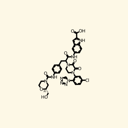 O=C(O)c1cc2cc(NC(=O)C(Cc3ccc(NC(=O)N4CCO[C@@H](CO)C4)cc3)N3CCN(c4cc(Cl)ccc4-n4cnnn4)C(=O)C3=O)ccc2[nH]1